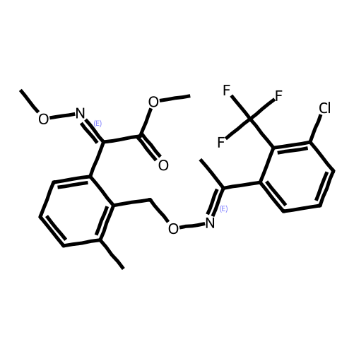 CO/N=C(/C(=O)OC)c1cccc(C)c1CO/N=C(\C)c1cccc(Cl)c1C(F)(F)F